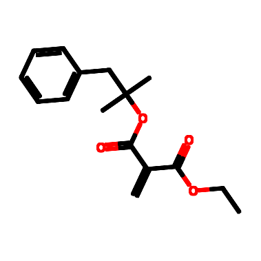 C=C(C(=O)OCC)C(=O)OC(C)(C)Cc1ccccc1